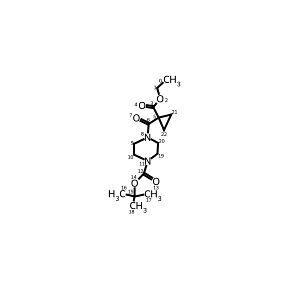 CCOC(=O)C1(C(=O)N2CCN(C(=O)OC(C)(C)C)CC2)CC1